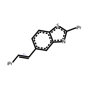 CC(C)/C=C/c1ccc2sc(C(C)C)nc2c1